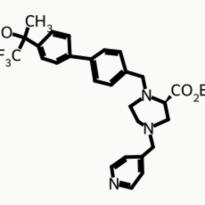 CCOC(=O)[C@H]1CN(Cc2ccncc2)CCN1Cc1ccc(-c2ccc(C(C)(O)C(F)(F)F)cc2)cc1